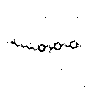 O=C(Oc1ccc(OCCCCOCC2CO2)cc1)C1CCC(OCC2CCC3OC3C2)CC1